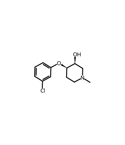 CN1CC[C@@H](Oc2cccc(Cl)c2)[C@@H](O)C1